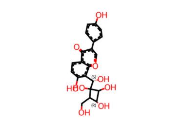 O=c1c(-c2ccc(O)cc2)coc2c([C@H](O)C3(O)C(O)[C@H](O)C3CO)c(O)ccc12